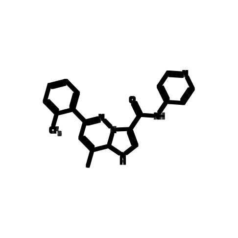 CC1=CC(c2ccccc2C(F)(F)F)=NN2C(C(=O)Nc3ccncc3)=CNC12